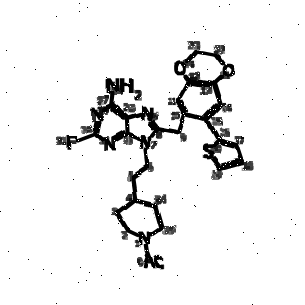 CC(=O)N1CCC(CCn2c(Cc3cc4c(cc3-c3cccs3)OCCO4)nc3c(N)nc(F)nc32)CC1